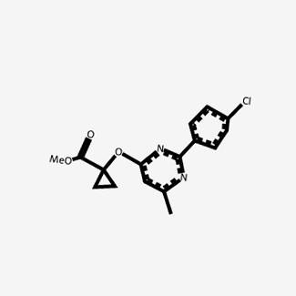 COC(=O)C1(Oc2cc(C)nc(-c3ccc(Cl)cc3)n2)CC1